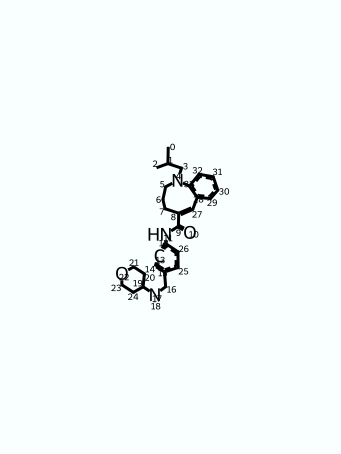 CC(C)CN1CCCC(C(=O)Nc2ccc(CN(C)C3CCOCC3)cc2)=Cc2ccccc21